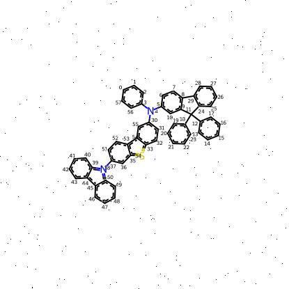 c1ccc(N(c2ccc3c(c2)C(c2ccccc2)(c2ccccc2)c2ccccc2-3)c2ccc3sc4cc(-n5c6ccccc6c6ccccc65)ccc4c3c2)cc1